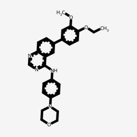 CCOc1ccc(-c2ccc3ncnc(Nc4ccc(N5CCOCC5)cc4)c3c2)cc1OC